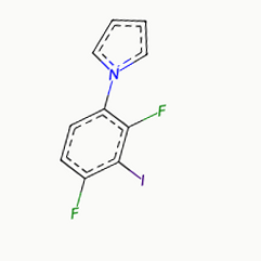 Fc1ccc(-n2cccc2)c(F)c1I